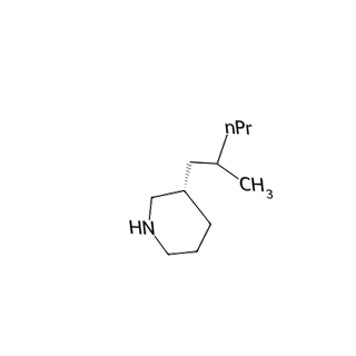 CCCC(C)C[C@@H]1CCCNC1